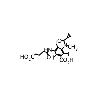 CN(C(=O)C1CC1)c1c(I)c(NC(=O)CCCC(=O)O)c(I)c(C(=O)O)c1I